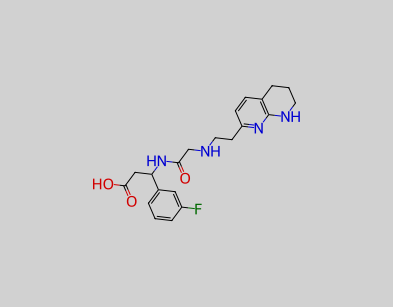 O=C(O)CC(NC(=O)CNCCc1ccc2c(n1)NCCC2)c1cccc(F)c1